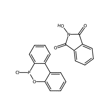 ClP1Oc2ccccc2-c2ccccc21.O=C1c2ccccc2C(=O)N1O